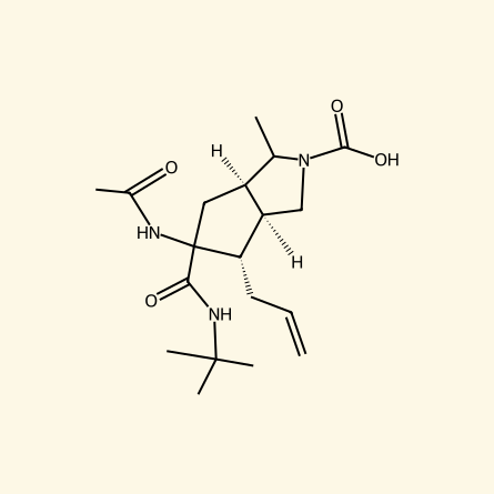 C=CC[C@H]1[C@@H]2CN(C(=O)O)C(C)[C@@H]2CC1(NC(C)=O)C(=O)NC(C)(C)C